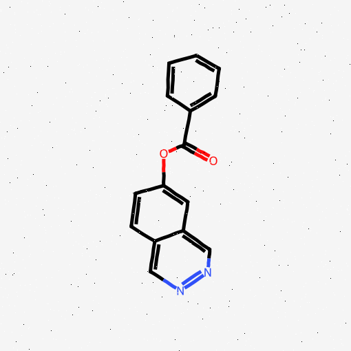 O=C(Oc1ccc2cnncc2c1)c1ccccc1